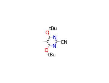 Cc1c(OC(C)(C)C)nc(C#N)nc1OC(C)(C)C